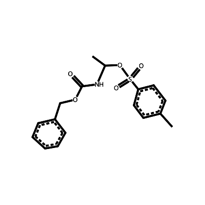 Cc1ccc(S(=O)(=O)OC(C)NC(=O)OCc2ccccc2)cc1